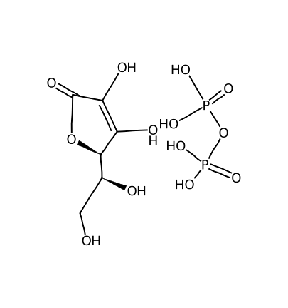 O=C1O[C@H]([C@@H](O)CO)C(O)=C1O.O=P(O)(O)OP(=O)(O)O